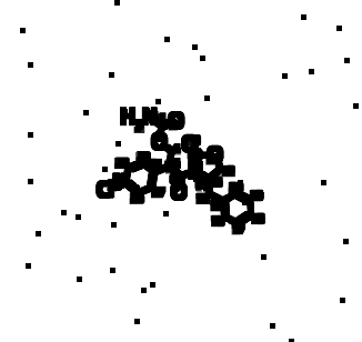 NC(=O)OC[C@@H](C(=O)N1C(=O)OC[C@H]1Cc1ccccc1)c1ccc(Cl)cc1